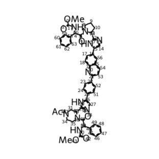 COC(=O)N[C@@H](C(=O)N1CCC[C@H]1c1ncc(-c2ccc3nc(-c4ccc(-c5cnc([C@@H]6CN(C(C)=O)CCN6C(=O)[C@H](NC(=O)OC)c6ccccc6)[nH]5)cc4)ccc3c2)[nH]1)c1ccccc1